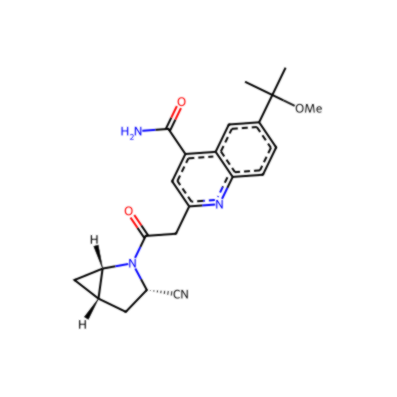 COC(C)(C)c1ccc2nc(CC(=O)N3[C@H](C#N)C[C@@H]4C[C@@H]43)cc(C(N)=O)c2c1